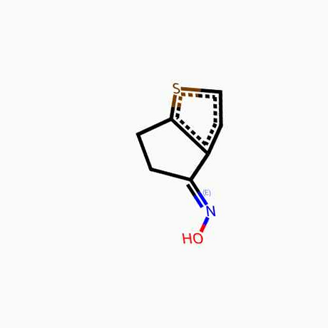 O/N=C1\CCc2sccc21